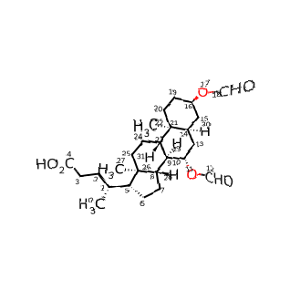 C[C@H](CCC(=O)O)[C@H]1CC[C@H]2[C@@H]3[C@@H](OC=O)C[C@@H]4C[C@H](OC=O)CC[C@]4(C)[C@H]3CC[C@]12C